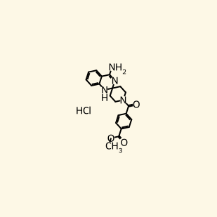 COC(=O)c1ccc(C(=O)N2CCC3(CC2)N=C(N)c2ccccc2N3)cc1.Cl